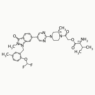 Cc1ccc(OC(F)F)c(Cn2c3cc(-c4cnc(N5CCN(C(=O)COC(=O)[C@@H](N)C(C)C)[C@H](C)C5)nc4)ccc3c(=O)n2C)c1